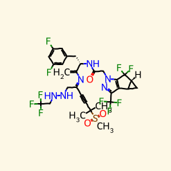 C=C(/N=C(/C#CC(C)(C)S(C)(=O)=O)CNNCC(F)(F)F)[C@H](Cc1cc(F)cc(F)c1)NC(=O)Cn1nc(C(F)(F)F)c2c1C(F)(F)[C@@H]1CC21